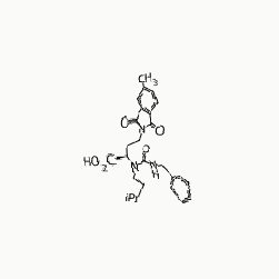 Cc1ccc2c(c1)C(=O)N(CC[C@H](C(=O)O)N(CCC(C)C)C(=O)NCc1ccccc1)C2=O